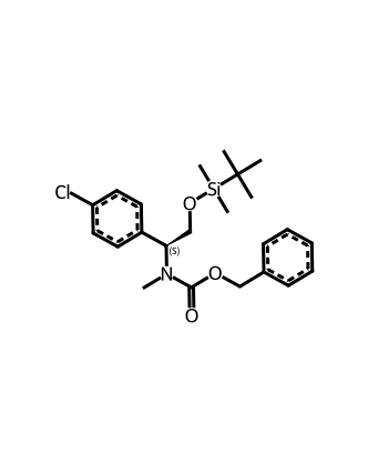 CN(C(=O)OCc1ccccc1)[C@H](CO[Si](C)(C)C(C)(C)C)c1ccc(Cl)cc1